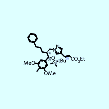 CCOC(=O)/C=C/c1cnn(C[C@H](CCCc2ccccc2)[C@H](O[Si](C)(C)C(C)(C)C)c2cc(OC)c(C)c(OC)c2)c1